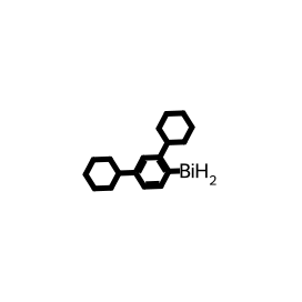 [BiH2][c]1ccc(C2CCCCC2)cc1C1CCCCC1